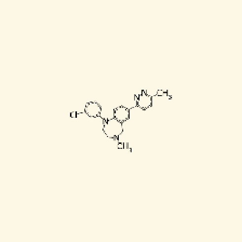 Cc1ccc(-c2ccc3c(c2)CN(C)CCN3c2cccc(Cl)c2)nn1